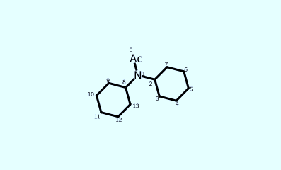 CC(=O)N(C1CCCCC1)C1CCCCC1